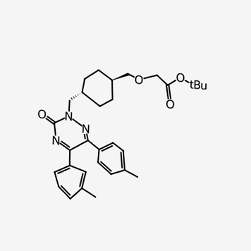 Cc1ccc(-c2nn(C[C@H]3CC[C@H](COCC(=O)OC(C)(C)C)CC3)c(=O)nc2-c2cccc(C)c2)cc1